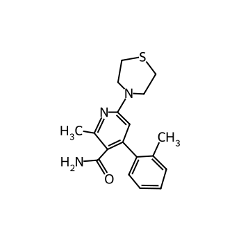 Cc1ccccc1-c1cc(N2CCSCC2)nc(C)c1C(N)=O